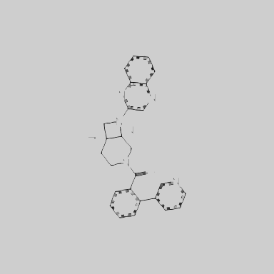 O=C(c1ccccc1-c1cccnc1)N1CC[C@H]2CN(c3cnc4ccccc4n3)[C@H]2C1